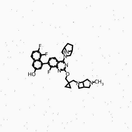 CN1CC2CN(CC3(COc4nc(N5CC6CCC(C5)N6)c5ccc(-c6cc(O)cc7ccc(F)c(F)c67)c(F)c5n4)CC3)C2C1